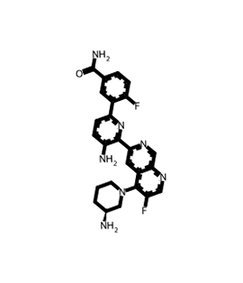 NC(=O)c1ccc(F)c(-c2ccc(N)c(-c3cc4c(N5CCC[C@H](N)C5)c(F)cnc4cn3)n2)c1